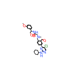 COc1cccc(C(CO)NC(=O)CN(C)Cc2ccc(-c3nc(NC4CCCCC4)ncc3Cl)cc2C=O)c1